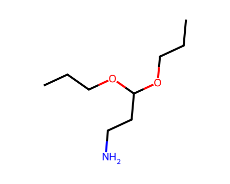 CCCOC(CCN)OCCC